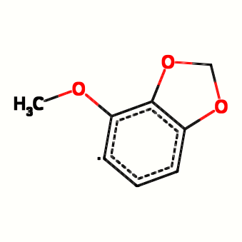 COc1[c]ccc2c1OCO2